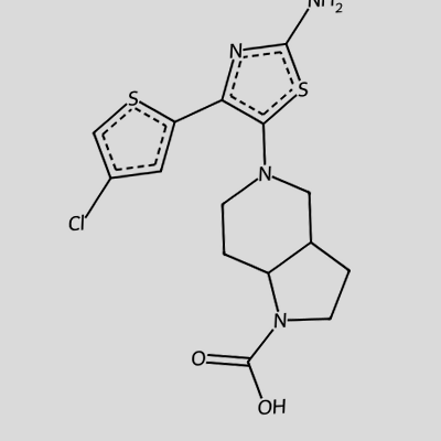 Nc1nc(-c2cc(Cl)cs2)c(N2CCC3C(CCN3C(=O)O)C2)s1